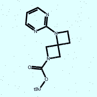 CC(C)(C)OC(=O)N1CC2(CCN2c2ncccn2)C1